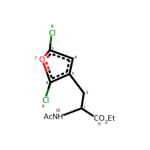 CCOC(=O)C(Cc1cc(Cl)oc1Cl)NC(C)=O